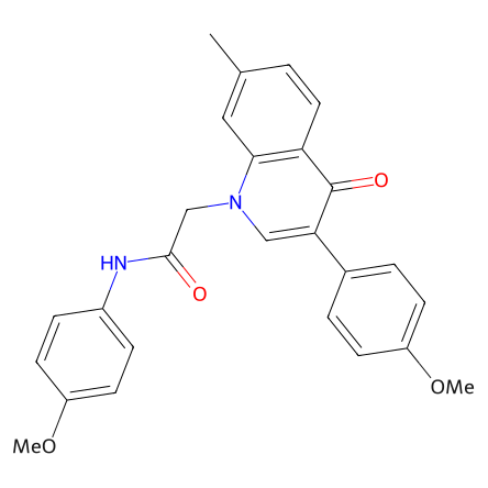 COc1ccc(NC(=O)Cn2cc(-c3ccc(OC)cc3)c(=O)c3ccc(C)cc32)cc1